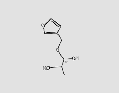 CC(O)[C@@H](O)OCc1ccoc1